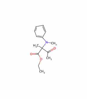 CCOC(=O)C(C)(C(C)=O)N(C)c1ccccc1